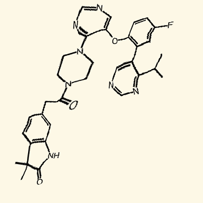 CC(C)c1ncncc1-c1cc(F)ccc1Oc1cncnc1N1CCN(C(=O)Cc2ccc3c(c2)NC(=O)C3(C)C)CC1